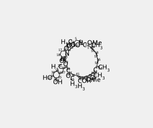 CO[C@H]1C[C@@H]2CC[C@@H](C)[C@@](O)(O2)C(=O)C(=O)N2CCCC[C@H]2C(=O)O[C@H]([C@H](C)C[C@@H]2CC[C@@H](O)[C@H](O)C2)CC(=O)[C@H](C)/C=C(\C)[C@@H](O)[C@@H](OC)C(=O)[C@H](C)C[C@H](C)/C=C/C=C/C=C/1C